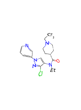 CCN(C(=O)C1CCN(CC(F)(F)F)CC1)c1cn(-c2cccnc2)nc1Cl